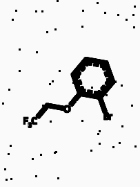 FC(F)(F)COc1ccc[c]c1Br